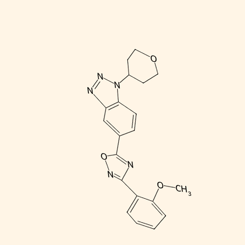 COc1ccccc1-c1noc(-c2ccc3c(c2)nnn3C2CCOCC2)n1